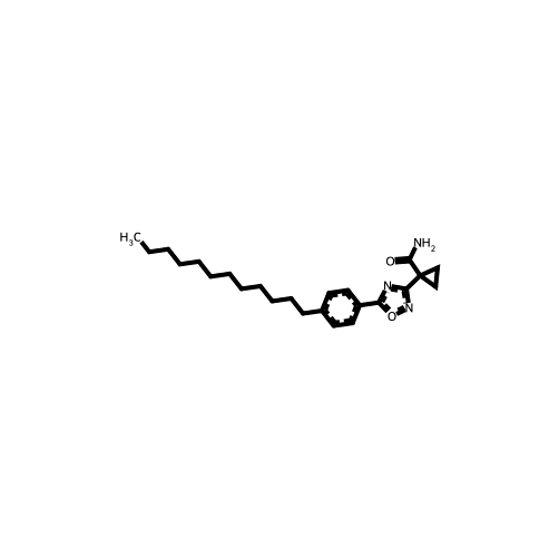 CCCCCCCCCCCCc1ccc(-c2nc(C3(C(N)=O)CC3)no2)cc1